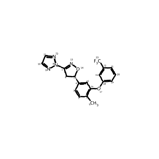 Cc1ccc([C@H]2CC(n3nccn3)=NO2)cc1Oc1cccc(C(F)(F)F)c1